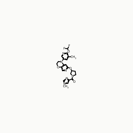 Cc1cc(N2CCOc3cnc(OC4CCN(C(=O)c5cn(C)cn5)C4)cc32)cnc1OC(F)F